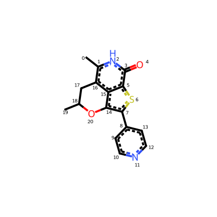 Cc1[nH]c(=O)c2sc(-c3ccncc3)c3c2c1CC(C)O3